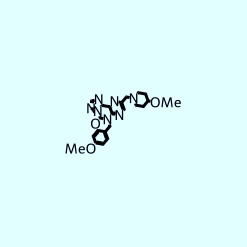 COc1ccc(Cn2c(=O)n3ncnc3c3nc(CN4CCC(OC)CC4)cnc32)cc1